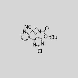 CC(C)(C)OC(=O)N1CC(C#N)(c2ncccc2-c2ccnc(Cl)n2)C1